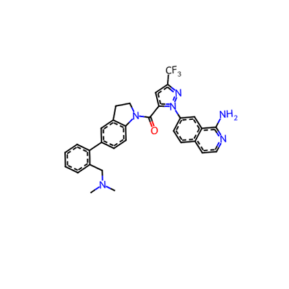 CN(C)Cc1ccccc1-c1ccc2c(c1)CCN2C(=O)c1cc(C(F)(F)F)nn1-c1ccc2ccnc(N)c2c1